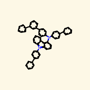 c1ccc(-c2ccc(N(c3ccc(-c4cccc(-c5ccccc5)c4)cc3)c3cccc4c3c3ccccc3n4-c3ccc(-c4ccccc4)cc3)cc2)cc1